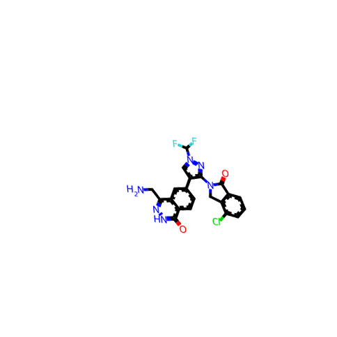 NCc1n[nH]c(=O)c2ccc(-c3cn(C(F)F)nc3N3Cc4c(Cl)cccc4C3=O)cc12